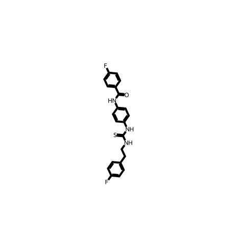 O=C(Nc1ccc(NC(=S)NCCc2ccc(F)cc2)cc1)c1ccc(F)cc1